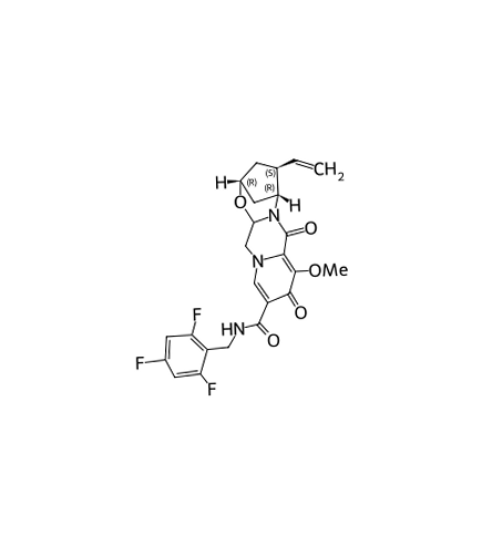 C=C[C@@H]1C[C@@H]2C[C@H]1N1C(=O)c3c(OC)c(=O)c(C(=O)NCc4c(F)cc(F)cc4F)cn3CC1O2